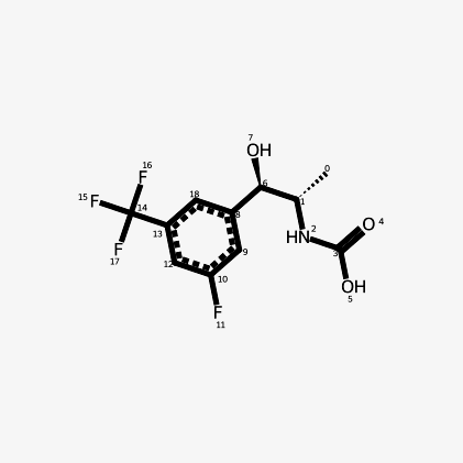 C[C@H](NC(=O)O)[C@H](O)c1cc(F)cc(C(F)(F)F)c1